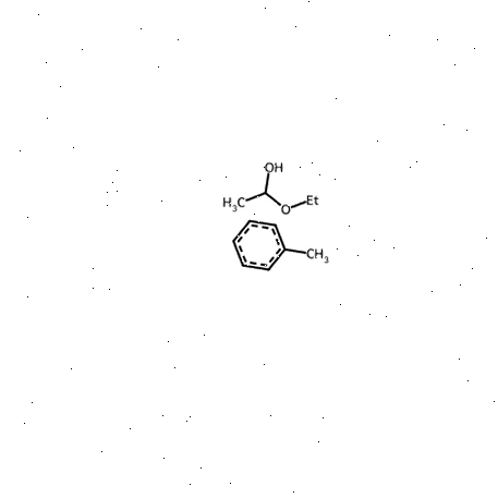 CCOC(C)O.Cc1ccccc1